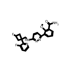 COc1c(C(N)=O)cccc1-c1ccc(NCC2(c3ncccc3F)CC(F)C2)nn1